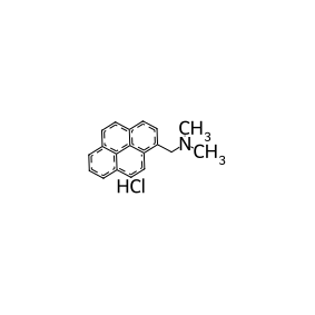 CN(C)Cc1ccc2ccc3cccc4ccc1c2c34.Cl